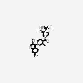 CC1CN(c2c(Cl)cnc3cc(Br)ccc23)CCC1C(=O)N1CCN(C(=N)C(F)(F)F)C(=N)C1